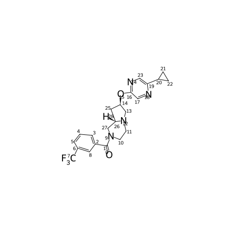 O=C(c1cccc(C(F)(F)F)c1)N1CCN2C[C@H](Oc3cnc(C4CC4)cn3)C[C@H]2C1